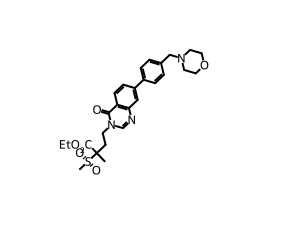 CCOC(=O)C(C)(CCn1cnc2cc(-c3ccc(CN4CCOCC4)cc3)ccc2c1=O)S(C)(=O)=O